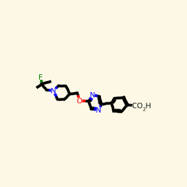 CC(C)(F)CN1CCC(COc2cnc(-c3ccc(C(=O)O)cc3)cn2)CC1